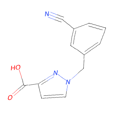 N#Cc1cccc(Cn2ccc(C(=O)O)n2)c1